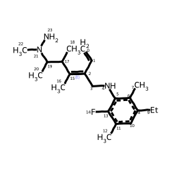 C=C/C(CNc1c(C)c(CC)cc(C)c1F)=C(/C)C(C)C(C)N(C)N